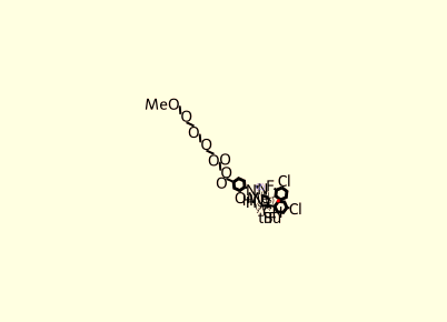 COCCOCCOCCOCCOC(=O)COC(=O)c1ccc(N/C=N\[C@@H]2N[C@@H](CC(C)(C)C)[C@](C#N)(c3ccc(Cl)cc3F)[C@H]2c2cccc(Cl)c2F)c(OC)c1